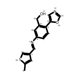 Cc1cc(/C=N/c2ccc(-c3cnco3)c(CO)c2)cs1